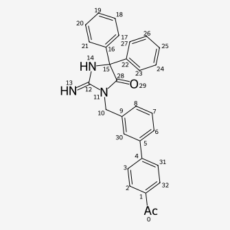 CC(=O)c1ccc(-c2cccc(CN3C(=N)NC(c4ccccc4)(c4ccccc4)C3=O)c2)cc1